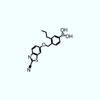 CCCc1cc(B(O)O)ccc1COc1ccc2nc(C#N)sc2c1